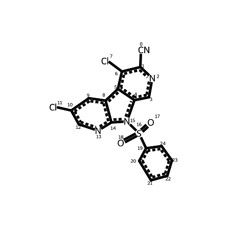 N#Cc1ncc2c(c1Cl)c1cc(Cl)cnc1n2S(=O)(=O)c1ccccc1